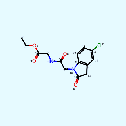 CCOC(=O)CNC(=O)CN1C(=O)Cc2cc(Cl)ccc21